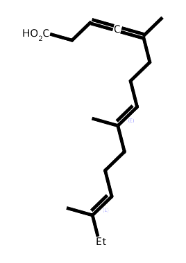 CC/C(C)=C/CC/C(C)=C/CCC(C)=C=CCC(=O)O